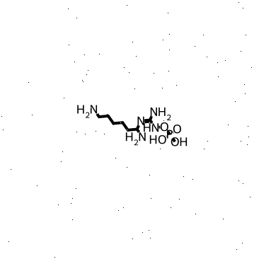 NCCCCCC(N)N=C(N)NOP(=O)(O)O